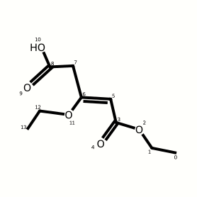 CCOC(=O)C=C(CC(=O)O)OCC